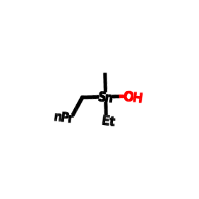 CCC[CH2][Sn]([CH3])([OH])[CH2]C